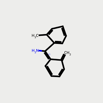 C=c1cccc/c1=C(\N)c1ccccc1C